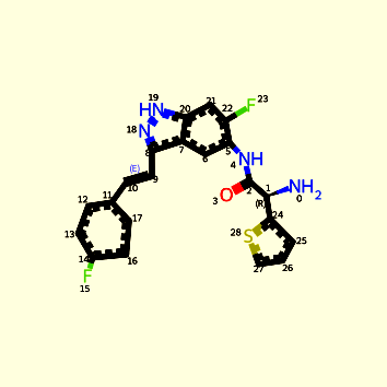 N[C@H](C(=O)Nc1cc2c(/C=C/c3ccc(F)cc3)n[nH]c2cc1F)c1cccs1